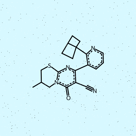 CC1CSc2nc(-c3cccnc3C34CCC3CC4)c(C#N)c(=O)n2C1